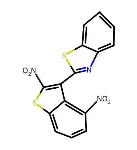 O=[N+]([O-])c1sc2cccc([N+](=O)[O-])c2c1-c1nc2ccccc2s1